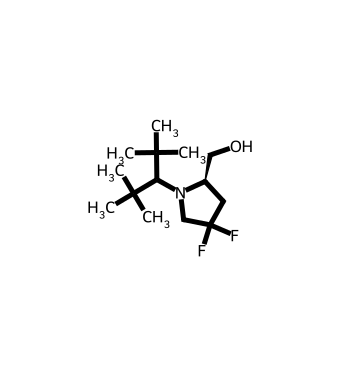 CC(C)(C)C(N1CC(F)(F)C[C@@H]1CO)C(C)(C)C